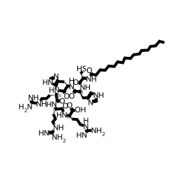 CCCCCCCCCCCCCCCCCC(=O)N[C@@H](CS)C(=O)N[C@@H](Cc1c[nH]cn1)C(=O)N[C@@H](Cc1c[nH]cn1)C(=O)N[C@@H](CCCNC(=N)N)C(=O)N[C@@H](CCCNC(=N)N)C(=O)N[C@@H](CCCNC(=N)N)C(=O)O